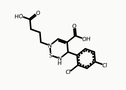 O=C(O)CCCN1C=C(C(=O)O)C(c2ccc(Cl)cc2Cl)NS1